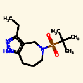 CCc1n[nH]c2c1CN(S(=O)(=O)C(C)(C)C)CCC2